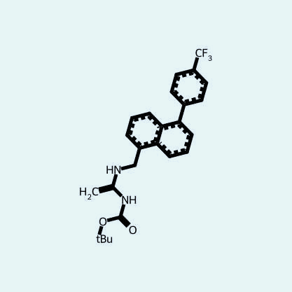 C=C(NCc1cccc2c(-c3ccc(C(F)(F)F)cc3)cccc12)NC(=O)OC(C)(C)C